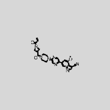 C=CC(=O)N1CC(C(=O)N2CCN(c3cnc(-c4cc(OC)c5c(C#N)cnn5c4)cn3)CC2)C1